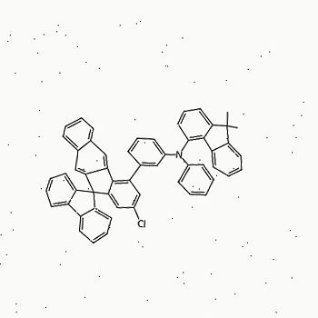 CC1(C)c2ccccc2-c2c(N(c3ccccc3)c3cccc(-c4cc(Cl)cc5c4-c4cc6ccccc6cc4C54c5ccccc5-c5ccccc54)c3)cccc21